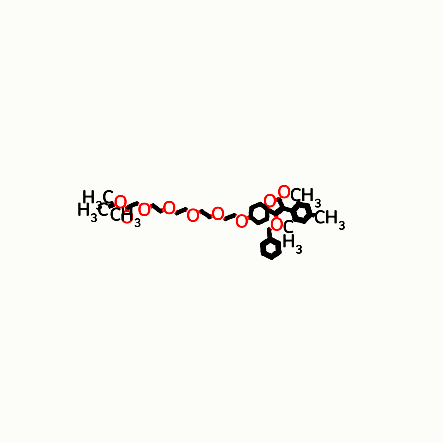 Cc1cc(C)c(C2=C(OCc3ccccc3)C3(CCC(OCCOCCOCCOCCOCC(=O)OC(C)(C)C)CC3)OC2=O)c(C)c1